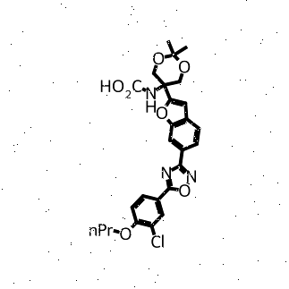 CCCOc1ccc(-c2nc(-c3ccc4cc(C5(NC(=O)O)COC(C)(C)OC5)oc4c3)no2)cc1Cl